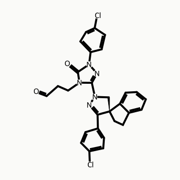 O=CCCn1c(N2C[C@@]3(CCc4ccccc43)C(c3ccc(Cl)cc3)=N2)nn(-c2ccc(Cl)cc2)c1=O